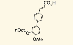 CCCCCCCCOc1cc(-c2ccc(C=CC(=O)O)cc2)ccc1OC